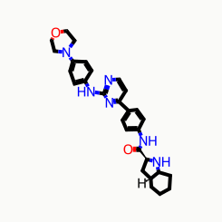 O=C(Nc1ccc(-c2ccnc(Nc3ccc(N4CCOCC4)cc3)n2)cc1)[C@@H]1C[C@@H]2CCCCC2N1